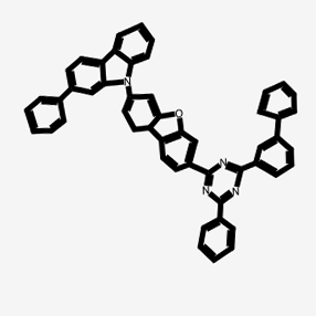 C1=C2Oc3cc(-c4nc(-c5ccccc5)nc(-c5cccc(-c6ccccc6)c5)n4)ccc3C2CC=C1n1c2ccccc2c2ccc(-c3ccccc3)cc21